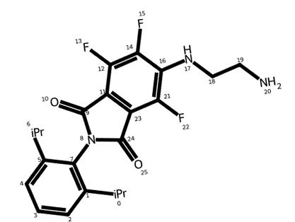 CC(C)c1cccc(C(C)C)c1N1C(=O)c2c(F)c(F)c(NCCN)c(F)c2C1=O